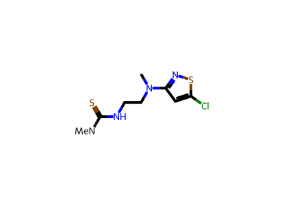 CNC(=S)NCCN(C)c1cc(Cl)sn1